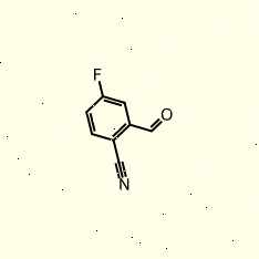 N#Cc1ccc(F)cc1C=O